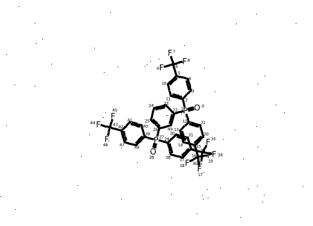 O=P(c1ccc(C(F)(F)F)cc1)(c1ccc(C(F)(F)F)cc1)c1cccc(P(=O)(c2ccc(C(F)(F)F)cc2)c2ccc(C(F)(F)F)cc2)c1